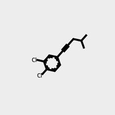 CC(C)CC#Cc1ccc(Cl)c(Cl)c1